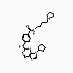 O=C(NCCCCN1CCCC1)c1ccc(Nc2ncc3ncn(C4CCCC4)c3n2)cc1